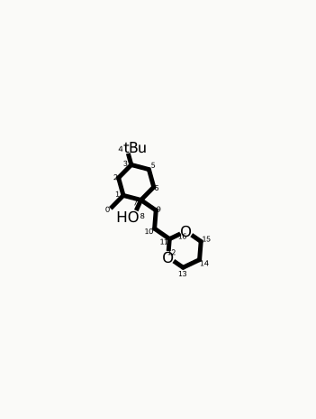 CC1CC(C(C)(C)C)CCC1(O)CCC1OCCCO1